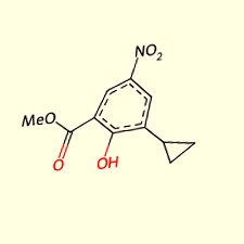 COC(=O)c1cc([N+](=O)[O-])cc(C2CC2)c1O